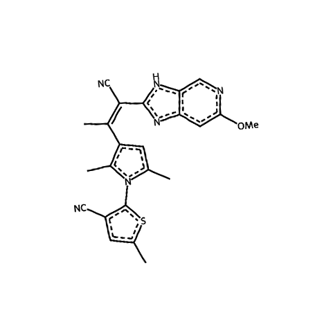 COc1cc2nc(C(C#N)=C(C)c3cc(C)n(-c4sc(C)cc4C#N)c3C)[nH]c2cn1